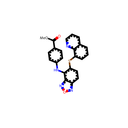 COC(=O)c1ccc(Nc2c(Sc3cccc4cccnc34)ccc3nonc23)cc1